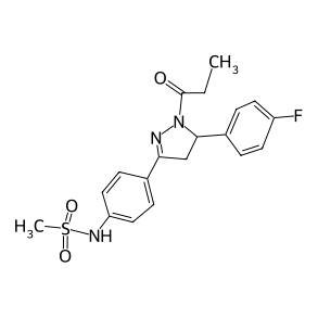 CCC(=O)N1N=C(c2ccc(NS(C)(=O)=O)cc2)CC1c1ccc(F)cc1